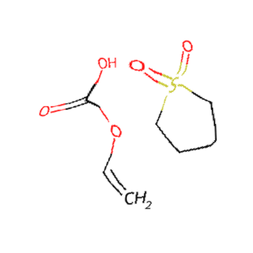 C=COC(=O)O.O=S1(=O)CCCC1